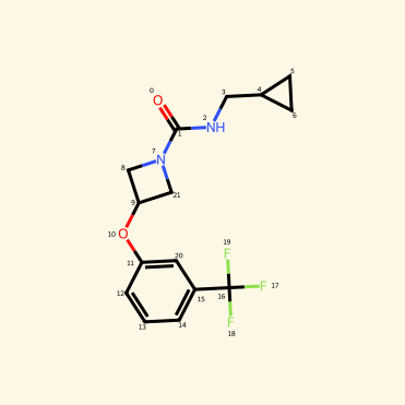 O=C(NCC1CC1)N1CC(Oc2cccc(C(F)(F)F)c2)C1